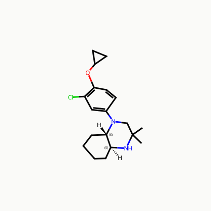 CC1(C)CN(c2ccc(OC3CC3)c(Cl)c2)[C@H]2CCCC[C@@H]2N1